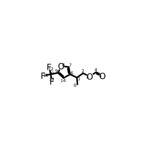 CC(COC=O)c1coc(C(F)(F)F)c1